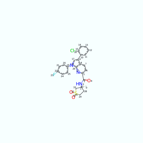 C[C@]1(NC(=O)c2ccc3c(-c4ccccc4Cl)cn(-c4ccc(F)cc4)c3n2)CCS(=O)(=O)C1